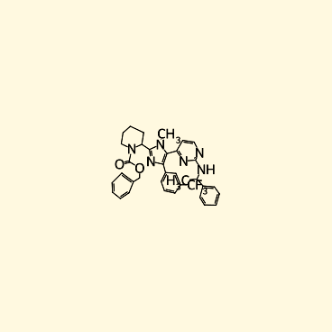 CC(Nc1nccc(-c2c(-c3cccc(C(F)(F)F)c3)nc(C3CCCCN3C(=O)OCc3ccccc3)n2C)n1)c1ccccc1